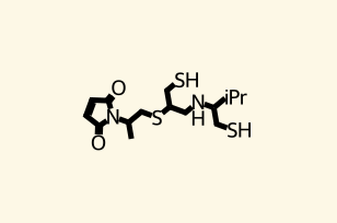 CC(C)C(CS)NCC(CS)SCC(C)N1C(=O)C=CC1=O